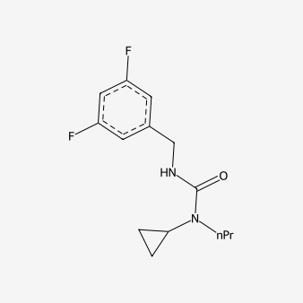 CCCN(C(=O)NCc1cc(F)cc(F)c1)C1CC1